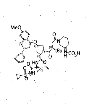 C=C[C@@H]1C[C@]1(NC(=O)[C@@H]1C[C@@H](Oc2cc(-c3ccccc3)nc3cc(OC)ccc23)CN1C(=O)[C@@H](CC(=O)N1CCC[C@H](NC(=O)O)C1)C(C)(C)C)C(=O)NS(=O)(=O)C1CC1